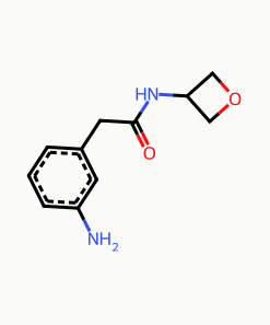 Nc1cccc(CC(=O)NC2COC2)c1